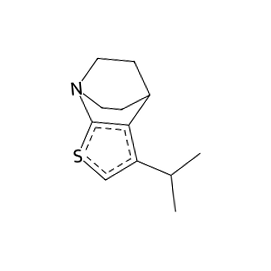 CC(C)c1csc2c1C1CCN2CC1